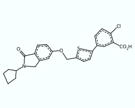 O=C(O)c1cc(-c2ccc(COc3ccc4c(c3)CN(C3CCCC3)C4=O)s2)ccc1Cl